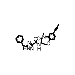 CC#Cc1ccc2c(c1)N(C)C(=O)C(NC(=O)c1n[nH]c(Cc3ccccc3)n1)CO2